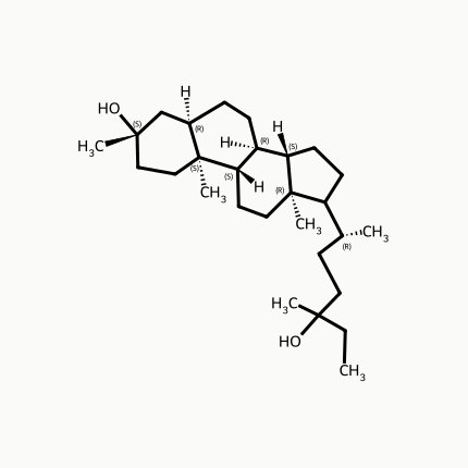 CCC(C)(O)CC[C@@H](C)C1CC[C@H]2[C@@H]3CC[C@@H]4C[C@@](C)(O)CC[C@]4(C)[C@H]3CC[C@]12C